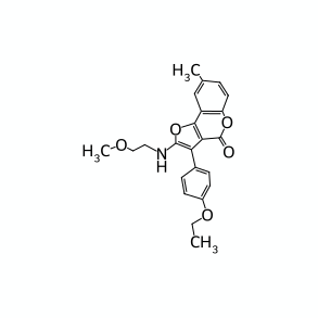 CCOc1ccc(-c2c(NCCOC)oc3c2c(=O)oc2ccc(C)cc23)cc1